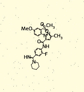 COc1ccc(-n2nc(C)cc2C(=O)Nc2ccc(C(=N)N3CCCCC3)cc2F)c(S(C)(=O)=O)c1